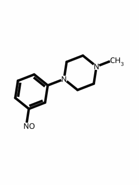 CN1CCN(c2cccc(N=O)c2)CC1